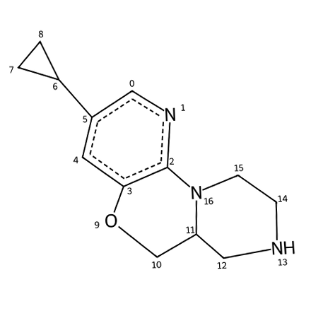 c1nc2c(cc1C1CC1)OCC1CNCCN21